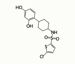 O=S(=O)(NC1CCC(c2ccc(O)cc2O)CC1)c1ccc(Cl)s1